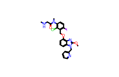 CNCC(=O)N(C)c1ccc(I)c(COc2cccc3c2nc(OC)n3Cc2ccccn2)c1Cl